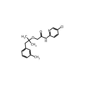 Cc1cccc(CC(C)(C)OCC(=O)Nc2ccc(Cl)cn2)c1